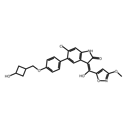 COc1cc(C(O)=C2C(=O)Nc3cc(Cl)c(-c4ccc(OCC5CC(O)C5)cc4)cc32)on1